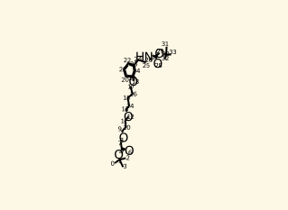 CC(C)(C)OC(=O)COCCCOCCCCCOc1cccc(CCNC(=O)OC(C)(C)C)c1